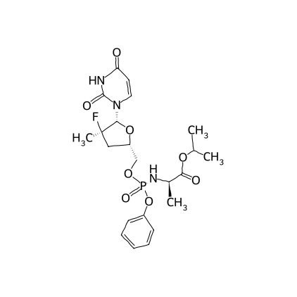 CC(C)OC(=O)[C@@H](C)NP(=O)(OC[C@@H]1C[C@@](C)(F)[C@H](n2ccc(=O)[nH]c2=O)O1)Oc1ccccc1